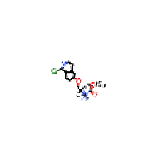 CC(C)C(C)(COc1ccc2c(Cl)nccc2c1)NC(=O)OC(C)(C)C